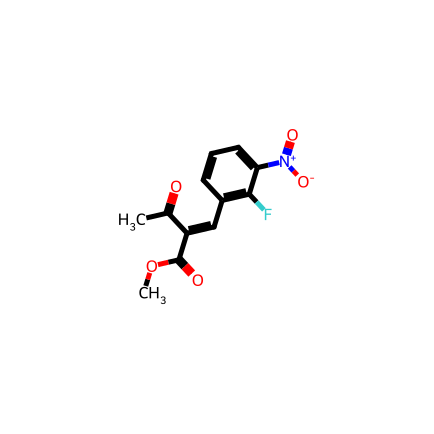 COC(=O)/C(=C/c1cccc([N+](=O)[O-])c1F)C(C)=O